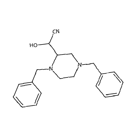 N#CC(O)C1CN(Cc2ccccc2)CCN1Cc1ccccc1